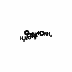 NC(=O)c1ccccc1-c1cn2c(CN3CCC(N)CC3)csc2n1